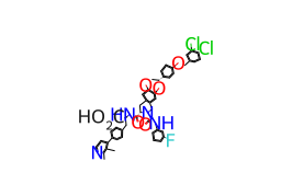 Cc1nccc(-c2ccc(CC(NC(=O)[C@@H]3Cc4cc5c(cc4CN3C(=O)Nc3cccc(F)c3)O[C@@H](c3ccc(OCc4ccc(Cl)c(Cl)c4)cc3)CO5)C(=O)O)cc2)c1C